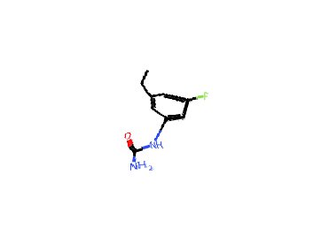 CCc1cc(F)cc(NC(N)=O)c1